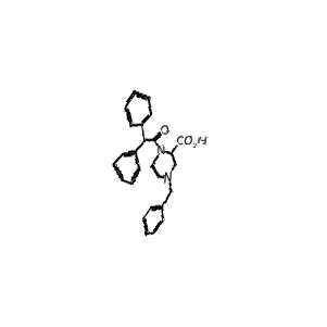 O=C(O)C1CN(Cc2ccccc2)CCN1C(=O)C(c1ccccc1)c1ccccc1